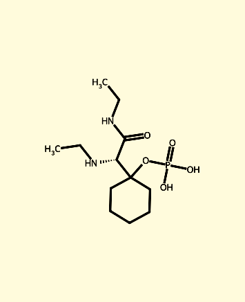 CCNC(=O)[C@@H](NCC)C1(OP(=O)(O)O)CCCCC1